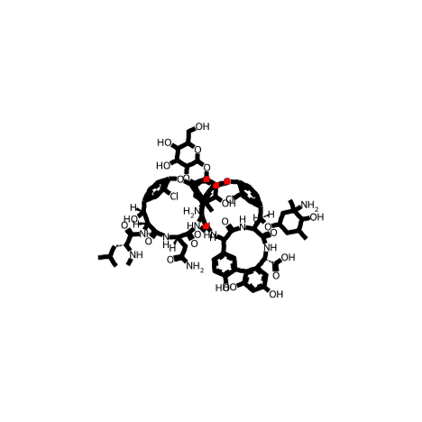 CN[C@H](CC(C)C)C(=O)N[C@H]1C(=O)N[C@@H](CC(N)=O)C(=O)N[C@H]2C(=O)N[C@H]3C(=O)N[C@H](C(=O)N[C@H](C(=O)O)c4cc(O)cc(O)c4-c4cc3ccc4O)[C@H](OC3CC(C)C(O)C(C)(N)C3)c3ccc(c(Cl)c3)Oc3cc2cc(c3OC2OC(CO)C(O)C(O)C2OC2CC(C)(N)C(O)C(C)O2)Oc2ccc(cc2Cl)[C@H]1O